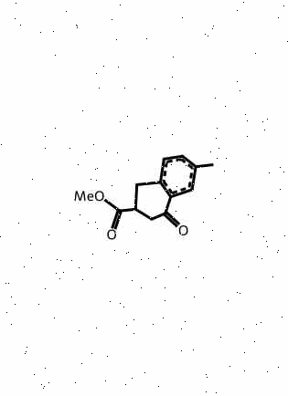 COC(=O)C1CC(=O)c2cc(C)ccc2C1